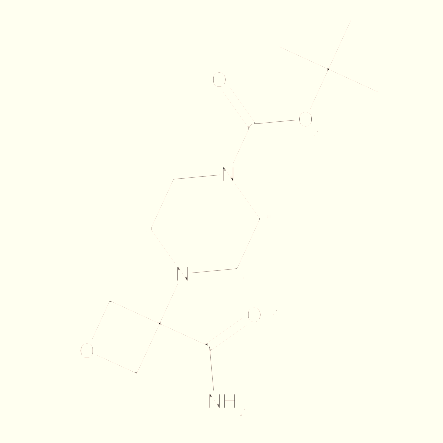 CC(C)(C)OC(=O)N1CCN(C2(C(N)=O)COC2)CC1